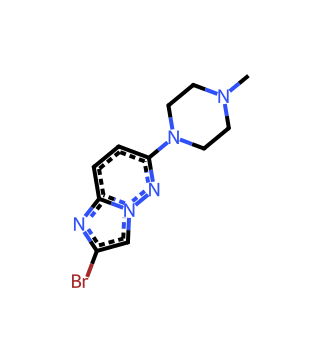 CN1CCN(c2ccc3nc(Br)cn3n2)CC1